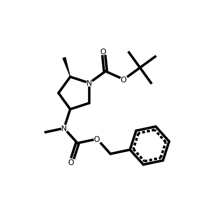 C[C@@H]1CC(N(C)C(=O)OCc2ccccc2)CN1C(=O)OC(C)(C)C